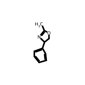 CC1=NC(c2ccccc2)CO1